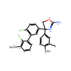 COc1ccc(C2(c3ccc(F)c(-c4cccc(OC)c4F)c3)COC(N)=N2)cc1C